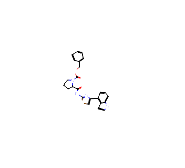 O=C(Nc1nc(-c2cccc3[nH]ccc23)cs1)C1CCCN1C(=O)OCc1ccccc1